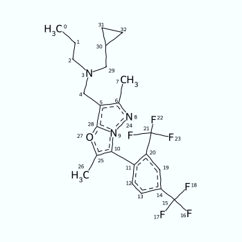 CCCN(Cc1c(C)nn2c(-c3ccc(C(F)(F)F)cc3C(F)(F)F)c(C)oc12)CC1CC1